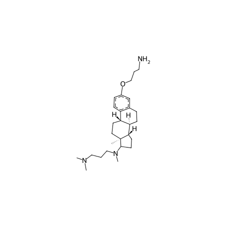 CN(C)CCCN(C)C1CC[C@H]2[C@@H]3CCc4cc(OCCCN)ccc4[C@H]3CC[C@]12C